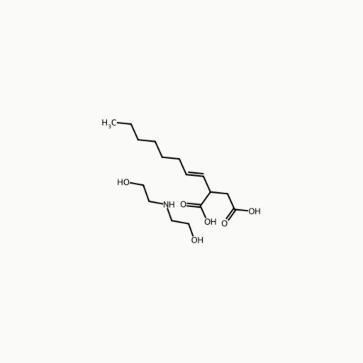 CCCCCCC=CC(CC(=O)O)C(=O)O.OCCNCCO